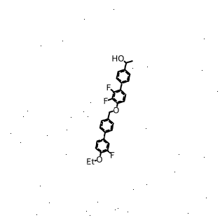 CCOc1ccc(-c2ccc(COc3ccc(-c4ccc(C(C)O)cc4)c(F)c3F)cc2)cc1F